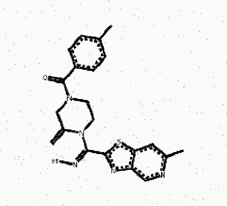 C=C1CN(C(=O)c2ccc(C)cc2)CCN1/C(=N\CC)c1nc2cnc(C)cc2s1